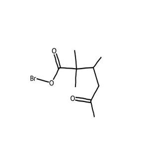 CC(=O)CC(C)C(C)(C)C(=O)OBr